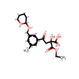 CCOC(=O)C(O)(CC(=O)c1cc(C)cc(COC2CCCCO2)c1)C(=O)O